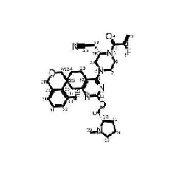 C=C(F)C(=O)N1CCN(c2nc(OC[C@@H]3CCCN3C)nc3c2CCC2(COCc4cccc(F)c42)C3)C[C@@H]1CC#N